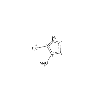 COc1cc[nH]c1C(F)(F)F